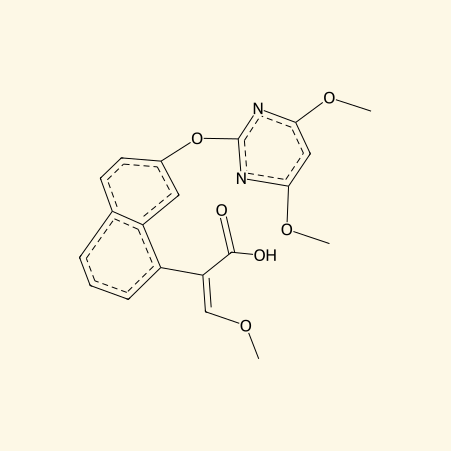 COC=C(C(=O)O)c1cccc2ccc(Oc3nc(OC)cc(OC)n3)cc12